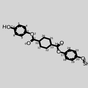 O=C(Oc1ccc(O)cc1)C1CCC(C(=O)Oc2ccc(OS)cc2)CC1